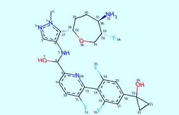 Cn1ncc(NC(O)c2ccc(F)c(-c3c(F)cc(C4(O)CC4)cc3F)n2)c1[C@@H]1CC[C@@H](N)[C@H](F)CO1